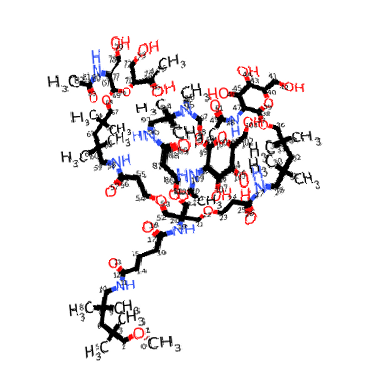 COCC(C)(C)CC(C)(C)CNC(=O)CCCC(=O)NC(COCCC(=O)NCC(C)(C)CC(C)(C)COC1OC(CO)C(O)C(O)C1NC(C)=O)(COCCC(=O)NCC(C)(C)CC(C)(C)COC(OC(CO)[C@@H](C)O)[C@H](CO)NC(C)=O)COCCC(=O)NCC(C)(C)N(C)COC1OC(CO)C(O)C(O)C1NC(C)=O